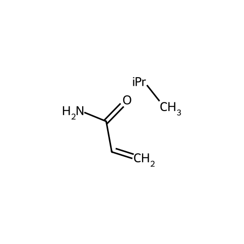 C=CC(N)=O.CC(C)C